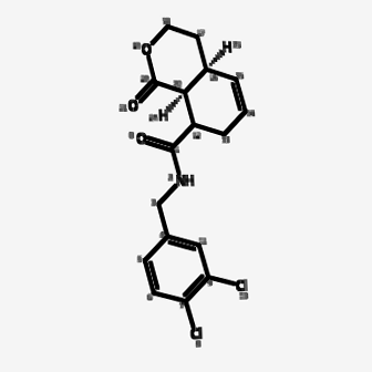 O=C(NCc1ccc(Cl)c(Cl)c1)C1CC=C[C@@H]2CCOC(=O)[C@H]12